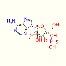 CO[C@@]1(O)[C@H](OP(O)(O)=S)[C@@H](CO)O[C@H]1n1cnc2c(N)ncnc21